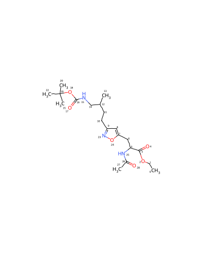 CCOC(=O)C(Cc1cc(CCC(C)CNC(=O)OC(C)(C)C)no1)NC(C)=O